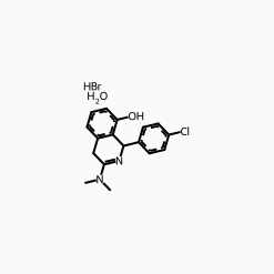 Br.CN(C)C1=NC(c2ccc(Cl)cc2)c2c(O)cccc2C1.O